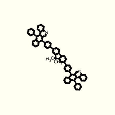 CC1(C)c2cc(-c3ccc(-c4c5ccccc5c(-c5ccccc5)c5c4cnc4ccccc45)cc3)ccc2-c2ccc(-c3ccc(-c4c5ccccc5c(-c5ccccc5)c5c4cnc4ccccc45)cc3)cc21